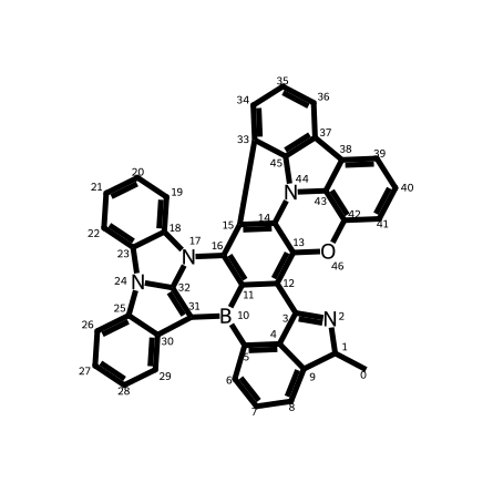 CC1N=C2c3c(cccc31)B1c3c2c2c4c(c3-n3c5ccccc5n5c6ccccc6c1c35)c1cccc3c5cccc(c5n4c31)O2